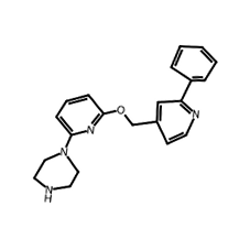 c1ccc(-c2cc(COc3cccc(N4CCNCC4)n3)ccn2)cc1